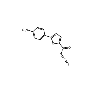 O=C(N=C=S)c1ccc(-c2ccc([N+](=O)[O-])cc2)o1